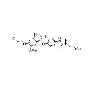 COc1cc2c(Oc3ccc(NC(=O)NCCC(C)(C)C)cc3F)ccnc2cc1OCCCl